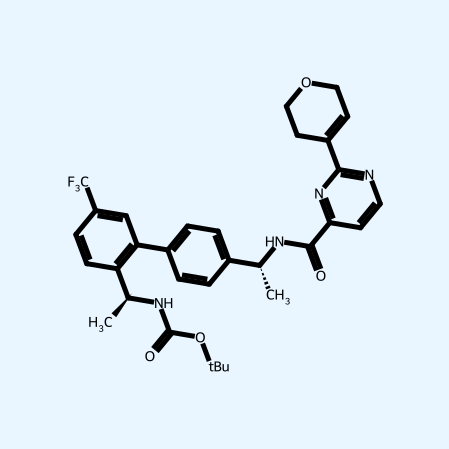 C[C@H](NC(=O)OC(C)(C)C)c1ccc(C(F)(F)F)cc1-c1ccc([C@@H](C)NC(=O)c2ccnc(C3=CCOCC3)n2)cc1